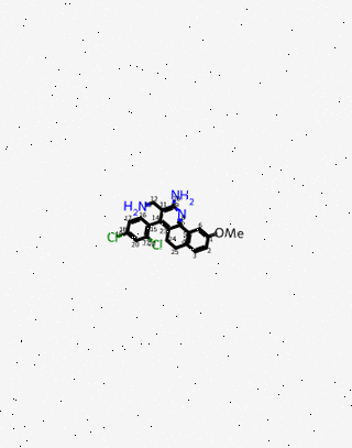 COc1ccc2c(c1)-c1nc(N)c(CN)c(-c3ccc(Cl)cc3Cl)c1CC2